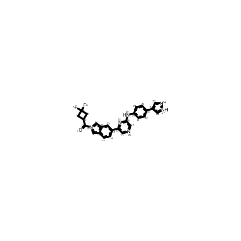 O=C(C1CC(F)(F)C1)n1cc2ccc(-c3cncc(Nc4ccc(-c5cn[nH]c5)cc4)n3)cc2c1